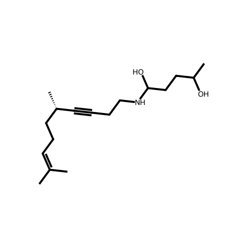 CC(C)=CCC[C@H](C)C#CCCNC(O)CCC(C)O